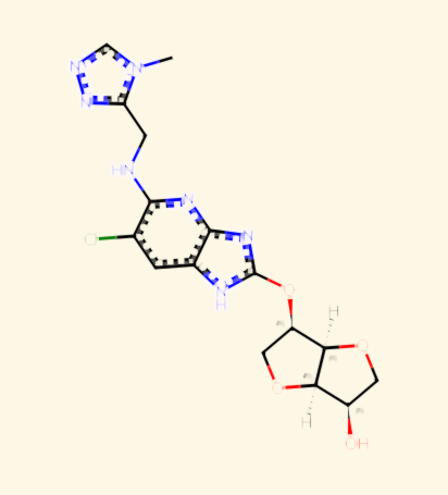 Cn1cnnc1CNc1nc2nc(O[C@@H]3CO[C@H]4[C@@H]3OC[C@H]4O)[nH]c2cc1Cl